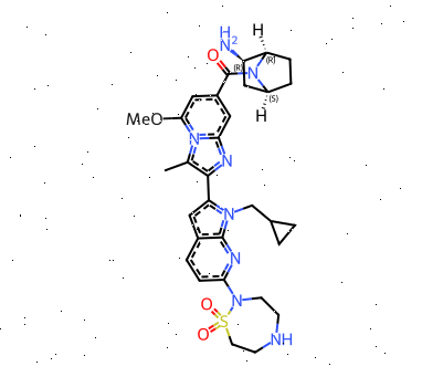 COc1cc(C(=O)N2[C@H]3CC[C@@H]2[C@H](N)C3)cc2nc(-c3cc4ccc(N5CCNCCS5(=O)=O)nc4n3CC3CC3)c(C)n12